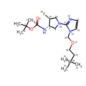 CC(C)(C)OC(=O)N[C@H]1CN(c2nccn2COCC[Si](C)(C)C)C[C@@H]1F